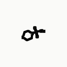 CC(C)(C)S(=O)(=O)N1CCSCC1